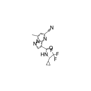 Cc1cc(C#N)nc2c(C(=O)N[C@@H](C3CC3)C(F)(F)F)cnn12